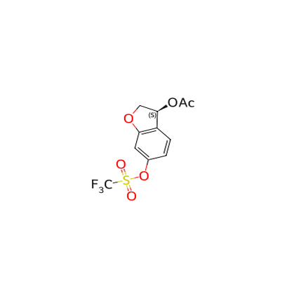 CC(=O)O[C@@H]1COc2cc(OS(=O)(=O)C(F)(F)F)ccc21